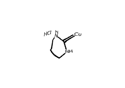 Cl.[Cu]=[C]1NCCN1